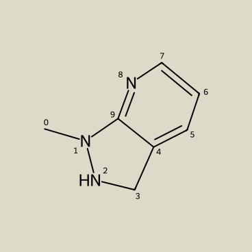 CN1NCc2cccnc21